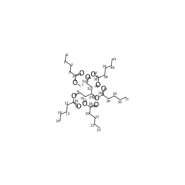 CCCCC(=O)OC[C@@H](OC(=O)CCCC)[C@@H](OC(=O)CCCC)[C@H](OC(=O)CCCC)[C@H](C=O)OC(=O)CCCC